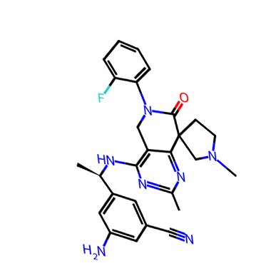 Cc1nc(N[C@H](C)c2cc(N)cc(C#N)c2)c2c(n1)C1(CCN(C)C1)C(=O)N(c1ccccc1F)C2